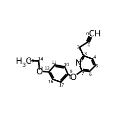 C#C[CH]c1cccc(Oc2ccc(OCC)cc2)n1